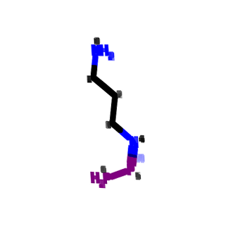 NCCC/N=P\P